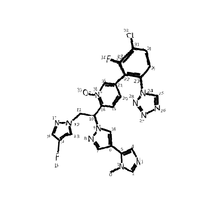 Cn1cncc1-c1cnn([C@@H](Cn2cc(F)cn2)c2ccc(-c3c(-n4cnnn4)ccc(Cl)c3F)c[n+]2[O-])c1